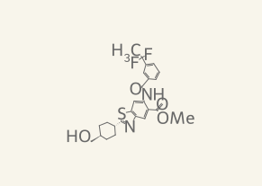 COC(=O)c1cc2nc([C@H]3CC[C@H](CO)CC3)sc2cc1NC(=O)c1cccc(C(C)(F)F)c1